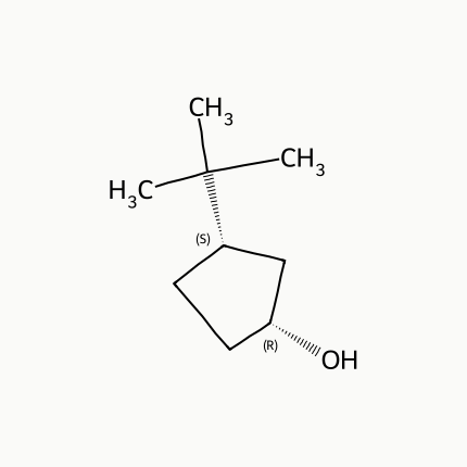 CC(C)(C)[C@H]1CC[C@@H](O)C1